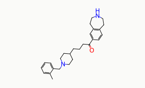 Cc1ccccc1CN1CCC(CCCC(=O)c2ccc3c(c2)CCNCC3)CC1